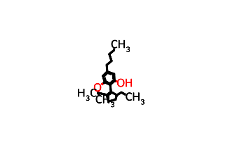 CCCCCc1cc(O)c2c(c1)OC(C)(C)C1=C2C(CC)CC1